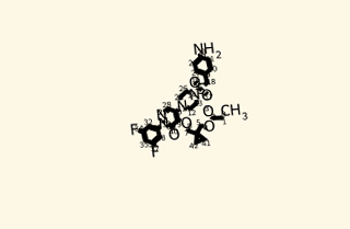 CCC(=O)OCC1(COc2c(N3CCN(S(=O)(=O)Cc4ccc(N)cc4)CC3)cnn(-c3cc(F)cc(F)c3)c2=O)CC1